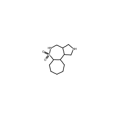 O=S1(=O)NCC2CNCC2C2CCCCCC21